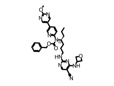 CCC[C@@H](CCCNc1ncc(C#N)c(NC2COC2)n1)N(C(=O)OCc1ccccc1)c1ccc(-c2cnc(OC)nc2)cn1